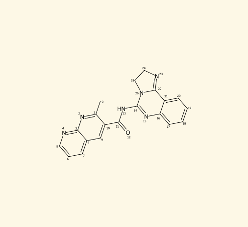 Cc1nc2ncccc2cc1C(=O)NC1=Nc2ccccc2C2=NCCN12